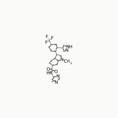 Cn1cc(-c2ccc(C(F)(F)F)cc2-c2cn[nH]c2)c2ccc(S(=O)(=O)Nc3ncns3)cc21